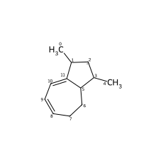 CC1[C]C(C)C2CCC=CC=C12